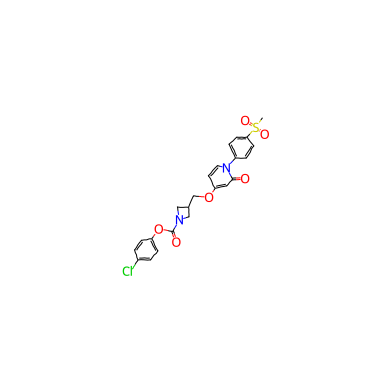 CS(=O)(=O)c1ccc(-n2ccc(OCC3CN(C(=O)Oc4ccc(Cl)cc4)C3)cc2=O)cc1